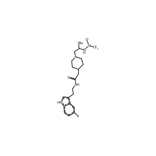 CC(C)(C)C(CN1CCC(CC(=O)NCCc2c[nH]c3ccc(F)cc23)CC1)N[S+]([O-])C(F)(F)F